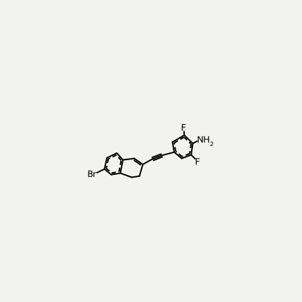 Nc1c(F)cc(C#CC2=Cc3ccc(Br)cc3CC2)cc1F